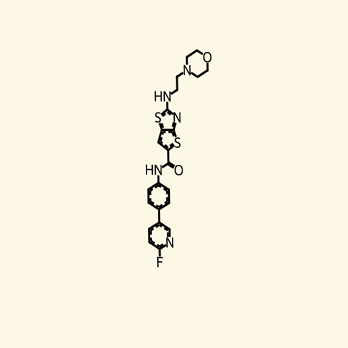 O=C(Nc1ccc(-c2ccc(F)nc2)cc1)c1cc2sc(NCCN3CCOCC3)nc2s1